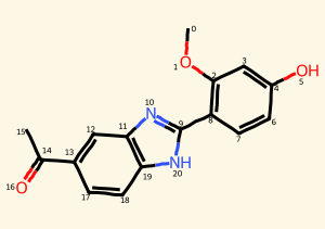 COc1cc(O)ccc1-c1nc2cc(C(C)=O)ccc2[nH]1